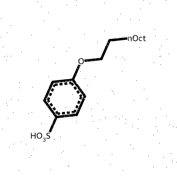 CCCCCCCCCCOc1ccc(S(=O)(=O)O)cc1